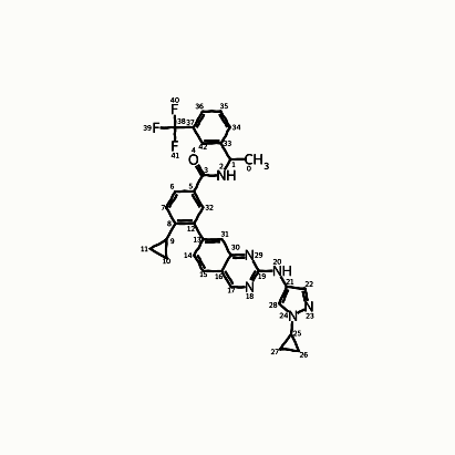 CC(NC(=O)c1ccc(C2CC2)c(-c2ccc3cnc(Nc4cnn(C5CC5)c4)nc3c2)c1)c1cccc(C(F)(F)F)c1